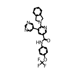 O=C(Nc1ccc(OC(F)(F)F)cc1)c1cnc(N2Cc3ccccc3C2)c(-c2cncnc2)c1